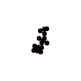 c1ccc(-c2c3ccc(-c4ccc5c(c4)C4(c6ccccc6-5)c5ccccc5C5(c6ccccc6-c6ccccc65)c5ccccc54)cc3c(-c3ccccc3)c3ccc(-c4ccc(-n5c(-c6ccccc6)nc6ccccc65)cc4)cc23)cc1